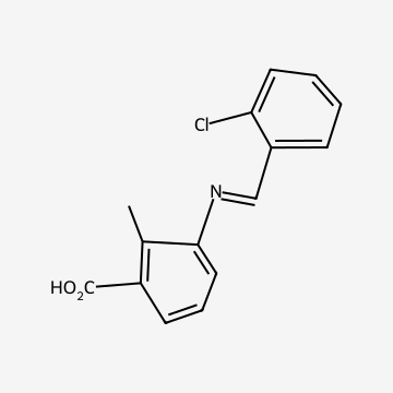 Cc1c(/N=C/c2ccccc2Cl)cccc1C(=O)O